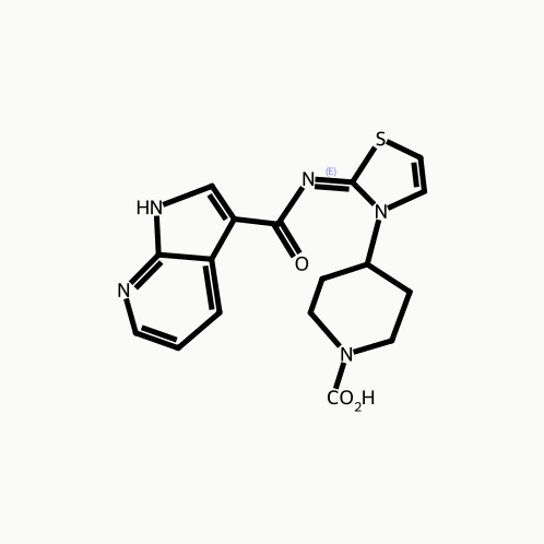 O=C(/N=c1/sccn1C1CCN(C(=O)O)CC1)c1c[nH]c2ncccc12